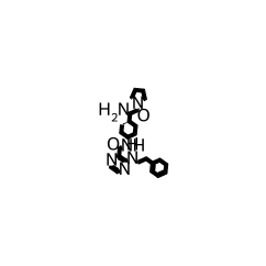 N[C@H](C(=O)N1CCCC1)[C@H]1CC[C@H](NC(=O)c2nccnc2NCCC2=CC=CCC2)CC1